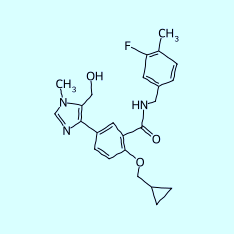 Cc1ccc(CNC(=O)c2cc(-c3ncn(C)c3CO)ccc2OCC2CC2)cc1F